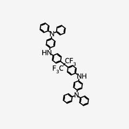 FC(F)(F)C(c1ccc(Nc2ccc(N(c3ccccc3)c3ccccc3)cc2)cc1)(c1ccc(Nc2ccc(N(c3ccccc3)c3ccccc3)cc2)cc1)C(F)(F)F